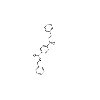 O=C(SCc1ccccc1)c1ccc(C(=O)SCc2ccccc2)cc1